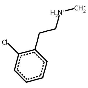 [CH2-][NH2+]CCc1ccccc1Cl